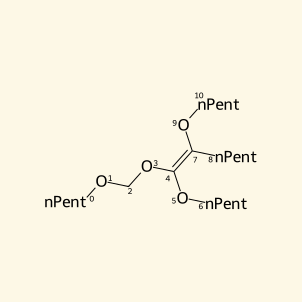 CCCCCOCOC(OCCCCC)=C(CCCCC)OCCCCC